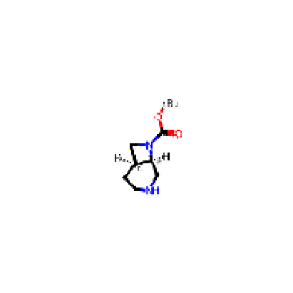 CC(C)(C)OC(=O)N1C[C@@H]2CCNC[C@@H]21